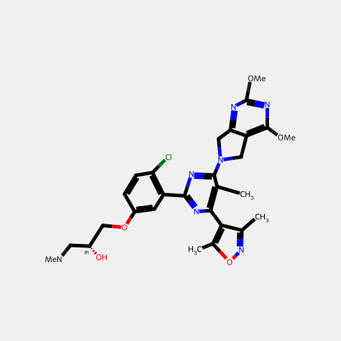 CNC[C@@H](O)COc1ccc(Cl)c(-c2nc(-c3c(C)noc3C)c(C)c(N3Cc4nc(OC)nc(OC)c4C3)n2)c1